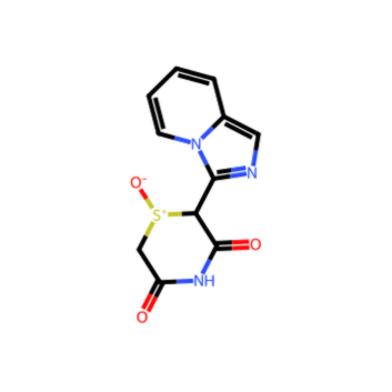 O=C1C[S+]([O-])C(c2ncc3ccccn23)C(=O)N1